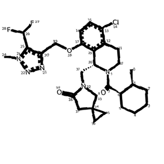 C[C@H]1CCCC[C@H]1C(=O)N1CCc2c(Cl)ccc(OCc3nnn(C)c3C(F)F)c2[C@H]1CN1CC2(CC2)CC1=O